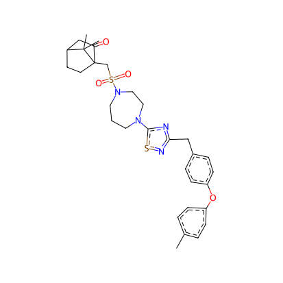 Cc1ccc(Oc2ccc(Cc3nsc(N4CCCN(S(=O)(=O)CC56CCC(CC5=O)C6(C)C)CC4)n3)cc2)cc1